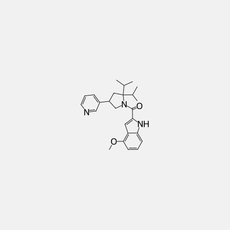 COc1cccc2[nH]c(C(=O)N3CC(c4cccnc4)CC3(C(C)C)C(C)C)cc12